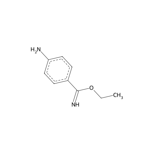 CCOC(=N)c1ccc(N)cc1